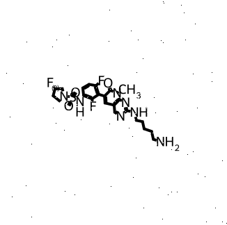 Cn1c(=O)c(-c2c(F)ccc(NS(=O)(=O)N3CC[C@@H](F)C3)c2F)cc2cnc(NCCCCCN)nc21